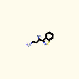 NCCC(N)c1nsc2ccccc12